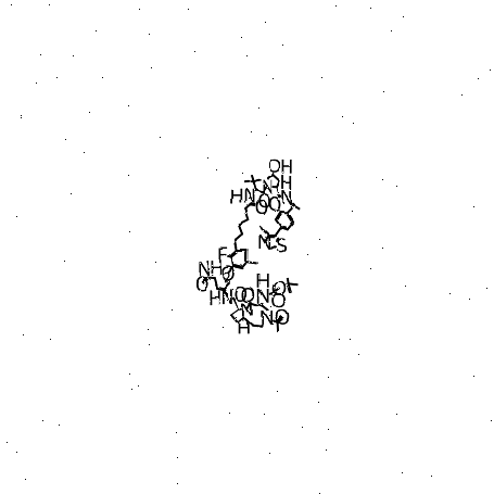 CC(=O)N1CC[C@H]2CC[C@@H](C(=O)NC(CCC(N)=O)COc3cc(C)cc(CCCCCC(=O)NC(C(=O)N4C[C@H](O)C[C@H]4C(=O)NC(C)c4ccc(-c5scnc5C)cc4)C(C)(C)C)c3F)N2C(=O)[C@@H](NC(=O)OC(C)(C)C)C1